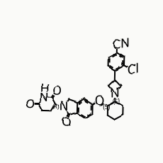 N#Cc1ccc(C2CN([C@H]3CCCC[C@@H]3Oc3ccc4c(c3)CN([C@@H]3CCC(=O)NC3=O)C4=O)C2)c(Cl)c1